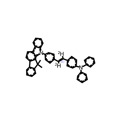 [2H]/C(=C(/[2H])c1ccc(-n2c3ccccc3c3ccc4c(c32)C(C)(C)c2ccccc2-4)cc1)c1ccc(N(c2ccccc2)c2ccccc2)cc1